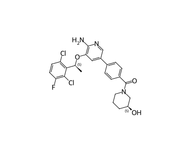 C[C@H](Oc1cc(-c2ccc(C(=O)N3CCC[C@H](O)C3)cc2)cnc1N)c1c(Cl)ccc(F)c1Cl